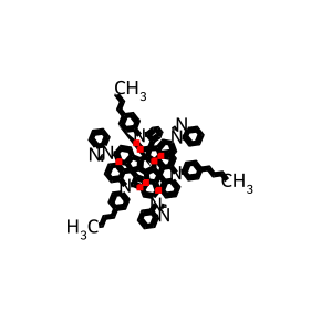 CCCCc1ccc(N2c3ccccc3C3(c4cc(-n5cnc6ccccc65)ccc4-c4c3c3c(c5c4C4(c6cc(-n7cnc8ccccc87)ccc6-5)c5ccccc5N(c5ccc(CCCC)cc5)c5ccccc54)C4(c5cc(-n6cnc7ccccc76)ccc5-3)c3ccccc3N(c3ccc(CCCC)cc3)c3ccccc34)c3ccccc32)cc1